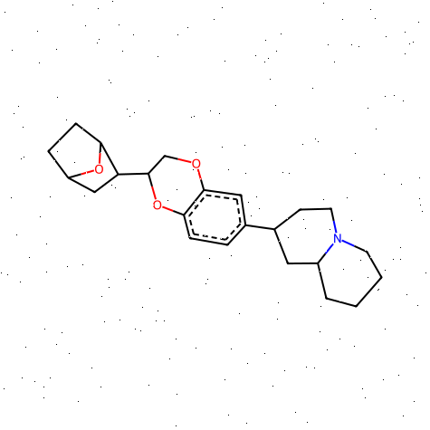 c1cc2c(cc1C1CCN3CCCCC3C1)OCC(C1CC3CCC1O3)O2